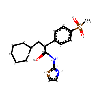 CS(=O)(=O)c1ccc(C(CC2CCCCCC2)C(=O)Nc2nccs2)cc1